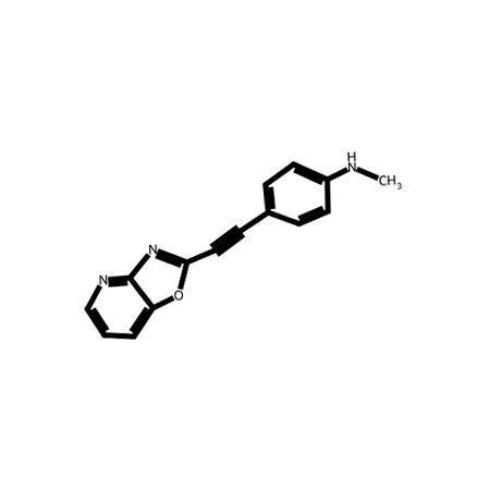 CNc1ccc(C#Cc2nc3ncccc3o2)cc1